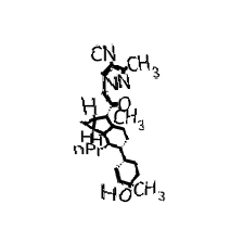 CCC[C@H]1[C@@H]2[C@@H]3C[C@@H]3[C@H](C(=O)Cn3cc(C#N)c(C)n3)[C@@]2(C)CC[C@@H]1[C@H]1CC[C@@](C)(O)CC1